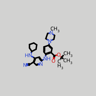 CN1CCN(c2ccc(Nc3cc(NC4CCCCC4)c(C#N)cn3)c(C(=O)OC(C)(C)C)c2)CC1